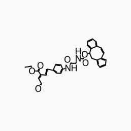 CCOC(=O)C(/C=C/c1ccc(NC(=O)CNC(=O)OC2Cc3ccccc3/C=C\c3ccccc32)cc1)=C/C=O